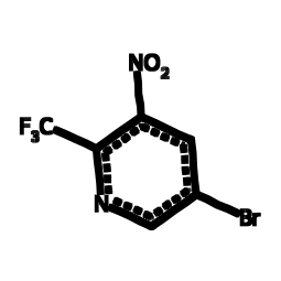 O=[N+]([O-])c1cc(Br)cnc1C(F)(F)F